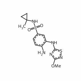 COc1nsc(Nc2cc(S(=O)(=O)NC3(C)CC3)ccc2N)n1